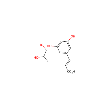 CC(O)CO.O=C(O)C=Cc1cc(O)cc(O)c1